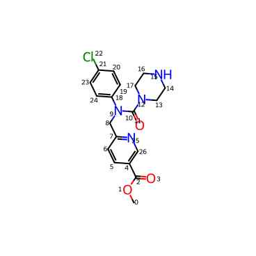 COC(=O)c1ccc(CN(C(=O)N2CCNCC2)c2ccc(Cl)cc2)nc1